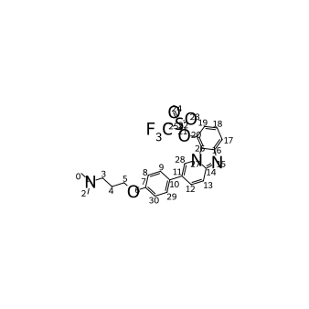 CN(C)CCCOc1ccc(-c2ccc3nc4cccc(OS(=O)(=O)C(F)(F)F)c4n3c2)cc1